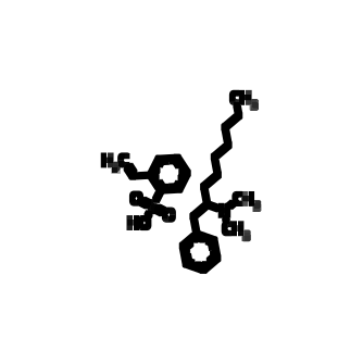 C=Cc1ccccc1S(=O)(=O)O.CCCCCCCC(Cc1ccccc1)N(C)C